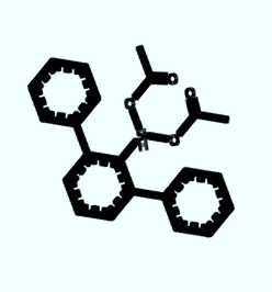 CC(=O)O[SiH](OC(C)=O)c1c(-c2ccccc2)cccc1-c1ccccc1